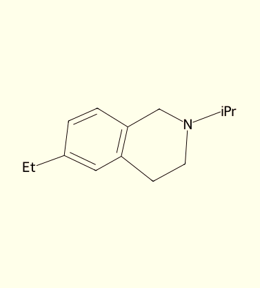 CCc1ccc2c(c1)CCN(C(C)C)C2